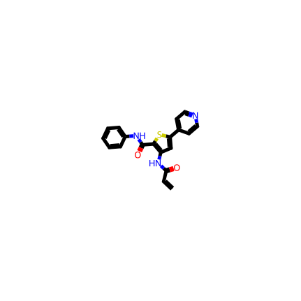 C=CC(=O)Nc1cc(-c2ccncc2)sc1C(=O)Nc1ccccc1